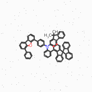 CC1(C)c2ccccc2-c2ccc(N(c3ccc(-c4cccc5c4oc4c(-c6ccccc6)cccc45)cc3)c3ccccc3-c3cccc4c3-c3ccccc3C43c4ccccc4-c4ccccc43)cc21